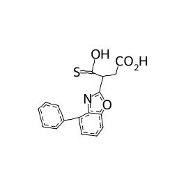 O=C(O)CC(C(O)=S)c1nc2c(-c3ccccc3)cccc2o1